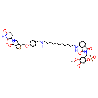 CCOc1cc([C@@H](CS(C)(=O)=O)N2C(=O)c3cccc(NCCCCCCCCCCCNCc4ccc(OCc5scc6c5CN(C5CCC(=O)NC5=O)C6=O)cc4)c3C2=O)ccc1OC